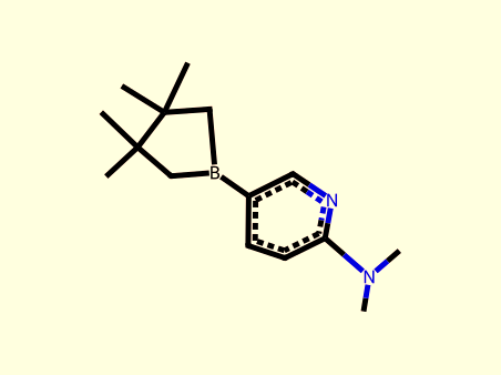 CN(C)c1ccc(B2CC(C)(C)C(C)(C)C2)cn1